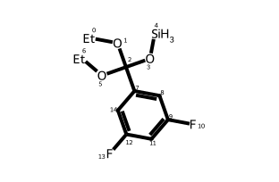 CCOC(O[SiH3])(OCC)c1cc(F)cc(F)c1